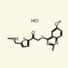 CNCc1ccc(C(=O)CSc2nc(C)nc3ccc(OC)cc23)s1.Cl